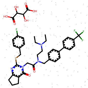 CCN(CC)CCN(Cc1ccc(-c2ccc(C(F)(F)F)cc2)cc1)C(=O)Cn1c(SCc2ccc(F)cc2)nc2c(c1=O)CCC2.O=C(O)C(O)C(O)C(=O)O